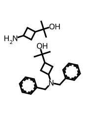 CC(C)(O)C1CC(N(Cc2ccccc2)Cc2ccccc2)C1.CC(C)(O)C1CC(N)C1